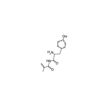 C=C(C)C(=O)NC(=O)C(N)Cc1ccc(O)cc1